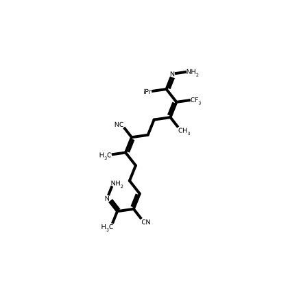 CC(=N/N)/C(C#N)=C\CC/C(C)=C(/C#N)CC/C(C)=C(\C(=N/N)C(C)C)C(F)(F)F